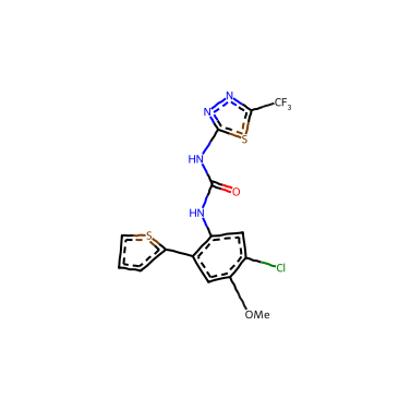 COc1cc(-c2cccs2)c(NC(=O)Nc2nnc(C(F)(F)F)s2)cc1Cl